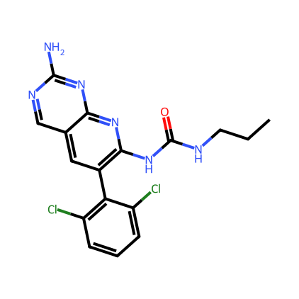 CCCNC(=O)Nc1nc2nc(N)ncc2cc1-c1c(Cl)cccc1Cl